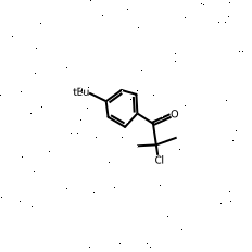 CC(C)(Cl)C(=O)c1ccc(C(C)(C)C)cc1